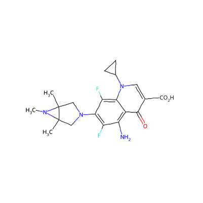 CN1C2(C)CN(c3c(F)c(N)c4c(=O)c(C(=O)O)cn(C5CC5)c4c3F)CC12C